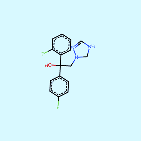 OC(CN1CNC=N1)(c1ccc(F)cc1)c1ccccc1F